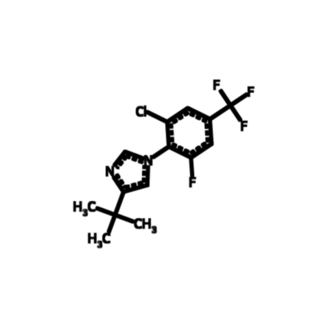 CC(C)(C)c1cn(-c2c(F)cc(C(F)(F)F)cc2Cl)cn1